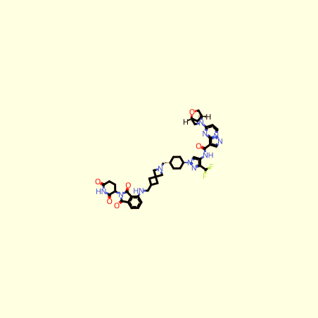 O=C1CCC(N2C(=O)c3cccc(NCC4CC5(C4)CN(C[C@H]4CC[C@H](n6cc(NC(=O)c7cnn8ccc(N9C[C@H]%10C[C@@H]9CO%10)nc78)c(C(F)F)n6)CC4)C5)c3C2=O)C(=O)N1